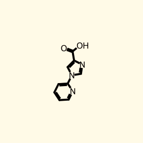 O=C(O)c1cn(-c2ccccn2)cn1